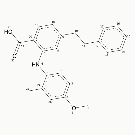 COc1ccc(Nc2cc(CCc3ccccc3)ccc2C(=O)O)c(C)c1